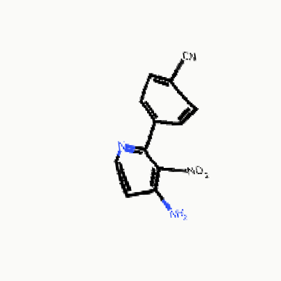 N#Cc1ccc(-c2nccc(N)c2[N+](=O)[O-])cc1